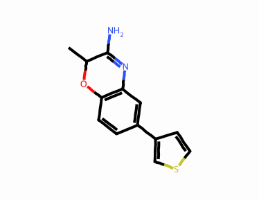 CC1Oc2ccc(-c3ccsc3)cc2N=C1N